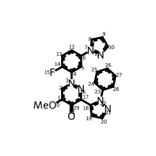 COc1cn(-c2cc(-n3cccn3)ccc2F)nc(-c2ccnn2-c2ccccc2)c1=O